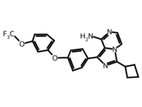 Nc1nccn2c(C3CCC3)nc(-c3ccc(Oc4cccc(OC(F)(F)F)c4)cc3)c12